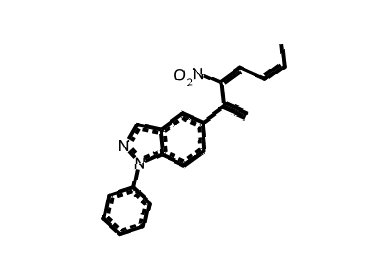 C=C(/C(=C\C=C/C)[N+](=O)[O-])c1ccc2c(cnn2-c2ccccc2)c1